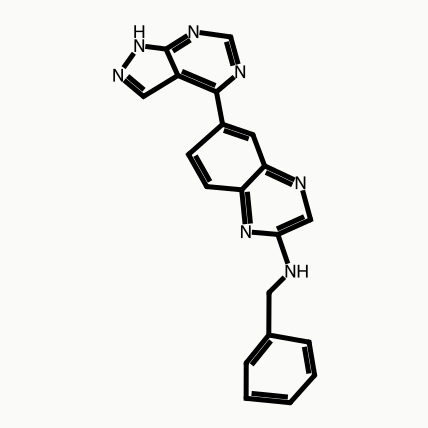 c1ccc(CNc2cnc3cc(-c4ncnc5[nH]ncc45)ccc3n2)cc1